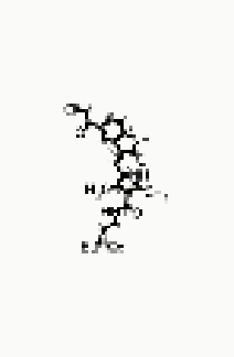 CCN(CC)CCNC(=O)c1c(C)[nH]c(C=C2C(=O)Nc3ccc(C(=O)CCl)cc32)c1C